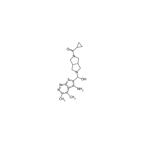 Cc1nnc2sc(C(O)N3CC4CN(C(=O)C5CC5)CC4C3)c(N)c2c1C